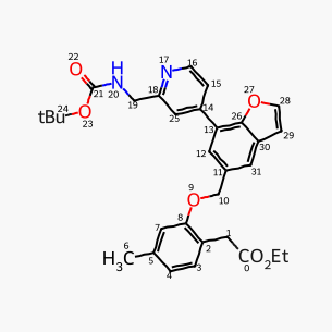 CCOC(=O)Cc1ccc(C)cc1OCc1cc(-c2ccnc(CNC(=O)OC(C)(C)C)c2)c2occc2c1